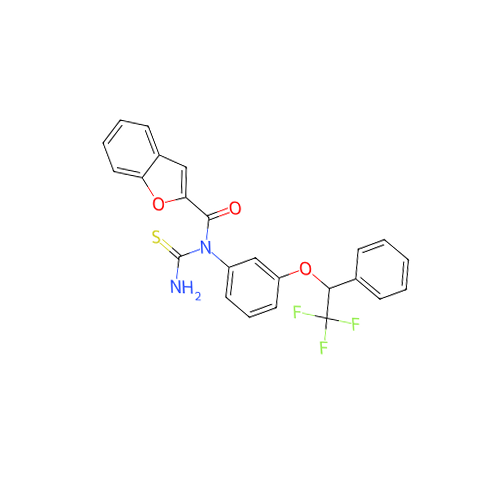 NC(=S)N(C(=O)c1cc2ccccc2o1)c1cccc(OC(c2ccccc2)C(F)(F)F)c1